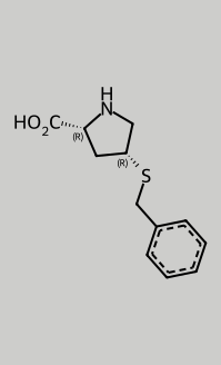 O=C(O)[C@H]1C[C@@H](SCc2ccccc2)CN1